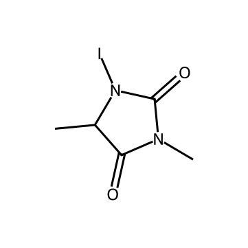 CC1C(=O)N(C)C(=O)N1I